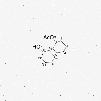 CC(=O)OC1CCCCC1.OC1CCCCC1